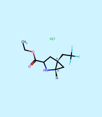 CCOC(=O)C1C[C@]2(CC(F)(F)F)C[C@@H]2N1.Cl